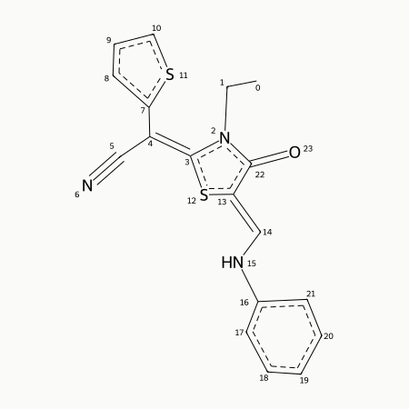 CCn1c(=C(C#N)c2cccs2)sc(=CNc2ccccc2)c1=O